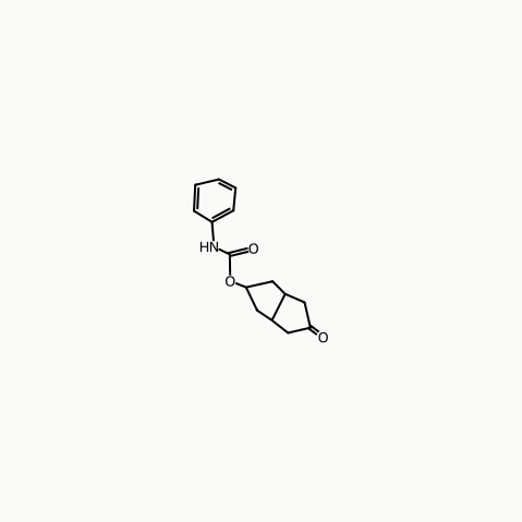 O=C1CC2CC(OC(=O)Nc3ccccc3)CC2C1